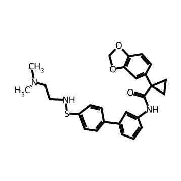 CN(C)CCNSc1ccc(-c2cccc(NC(=O)C3(c4ccc5c(c4)OCO5)CC3)c2)cc1